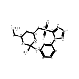 CC1(C)O[C@@H](CC(=O)O)C[C@@H](CS(=O)(=O)c2nnnn2-c2ccccc2)O1